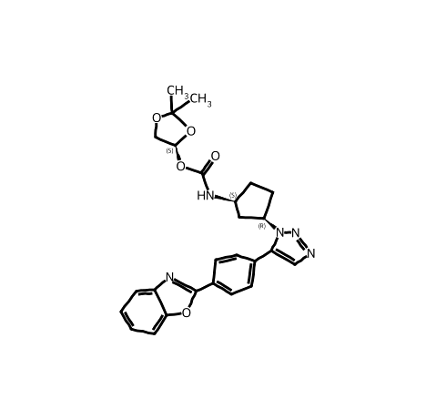 CC1(C)OC[C@H](OC(=O)N[C@H]2CC[C@@H](n3nncc3-c3ccc(-c4nc5ccccc5o4)cc3)C2)O1